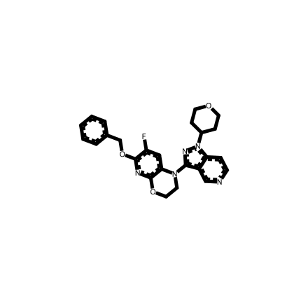 Fc1cc2c(nc1OCc1ccccc1)OCCN2c1nn(C2CCOCC2)c2ccncc12